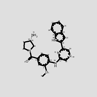 COc1cc(C(=O)N2CC[C@H](N)C2)ccc1Nc1cncc(-c2cc3ccccc3[nH]2)n1